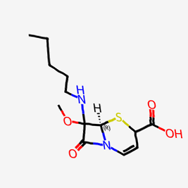 CCCCCNC1(OC)C(=O)N2C=CC(C(=O)O)S[C@@H]21